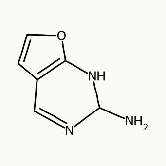 NC1N=Cc2ccoc2N1